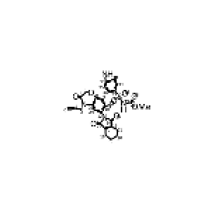 C#CCN1C(=O)COc2cc(F)c(N3C(=O)C4=C(CCCC4)C3=O)cc21.COC(=O)NS(=O)(=O)c1ccc(N)cc1